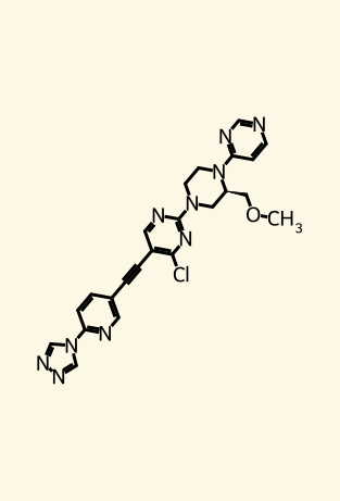 COC[C@H]1CN(c2ncc(C#Cc3ccc(-n4cnnc4)nc3)c(Cl)n2)CCN1c1ccncn1